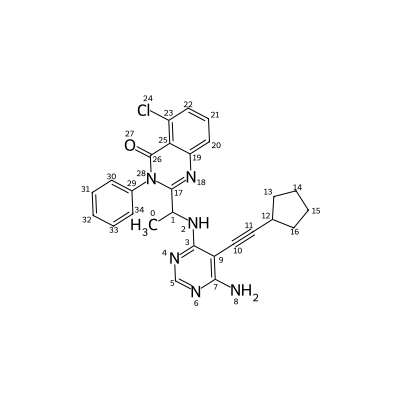 CC(Nc1ncnc(N)c1C#CC1CCCC1)c1nc2cccc(Cl)c2c(=O)n1-c1ccccc1